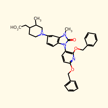 CC1CN(c2ccc3c(c2)n(C)c(=O)n3-c2ccc(OCc3ccccc3)nc2OCc2ccccc2)CCC1CC(=O)O